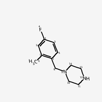 Cc1cc(F)ccc1CN1CCNCC1